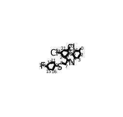 Cc1ccc(/N=C(/C=C/Sc2ccc(F)cc2)c2cc(Cl)cc(Cl)c2)cc1